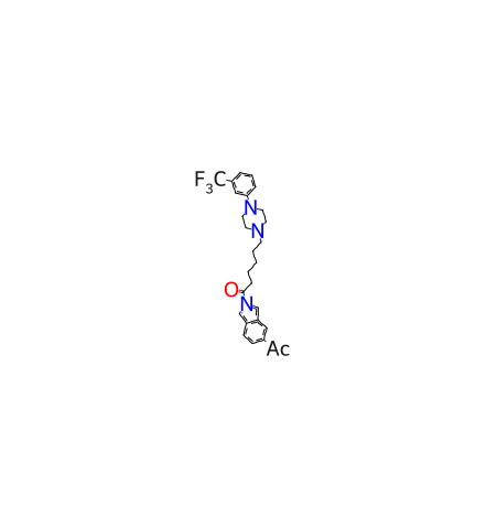 CC(=O)c1ccc2cn(C(=O)CCCCCN3CCN(c4cccc(C(F)(F)F)c4)CC3)cc2c1